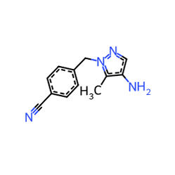 Cc1c(N)cnn1Cc1ccc(C#N)cc1